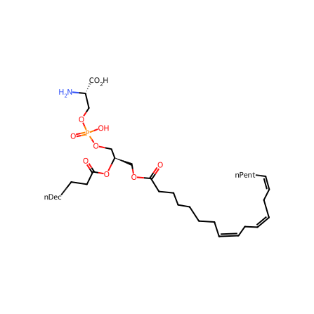 CCCCC/C=C\C/C=C\C/C=C\CCCCCCC(=O)OC[C@H](COP(=O)(O)OC[C@H](N)C(=O)O)OC(=O)CCCCCCCCCCCC